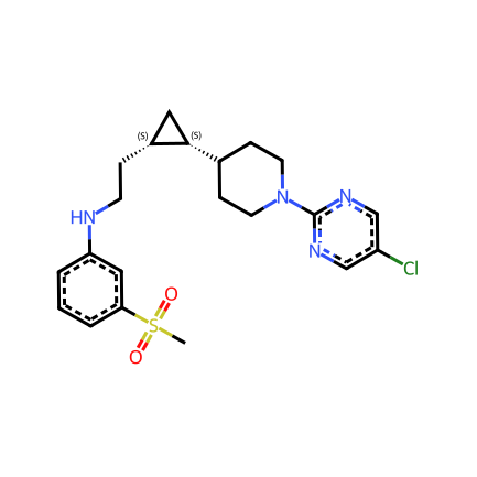 CS(=O)(=O)c1cccc(NCC[C@@H]2C[C@@H]2C2CCN(c3ncc(Cl)cn3)CC2)c1